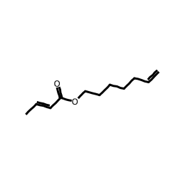 C=CCCCCCOC(=O)C=CC